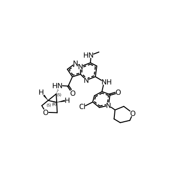 CNc1cc(Nc2cc(Cl)cn(C3CCCOC3)c2=O)nc2c(C(=O)N[C@@H]3[C@@H]4COC[C@@H]43)cnn12